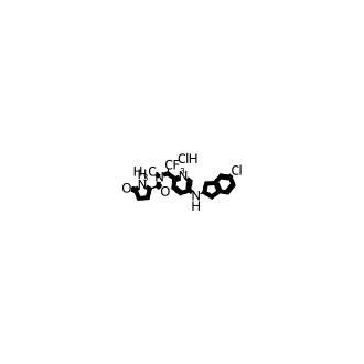 CN(C(=O)[C@H]1CCC(=O)N1)[C@@H](c1ccc(N[C@H]2Cc3ccc(Cl)cc3C2)cn1)C(F)(F)F.Cl